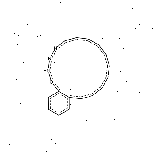 c1cccccc2ccccc2o[nH]nncccc1